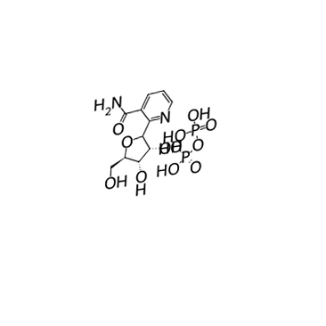 NC(=O)c1cccnc1C1O[C@H](CO)[C@@H](O)[C@H]1O.O=P(O)(O)OP(=O)(O)O